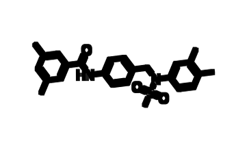 Cc1cc(C)cc(C(=O)Nc2ccc(CN(c3ccc(C)c(C)c3)S(C)(=O)=O)cc2)c1